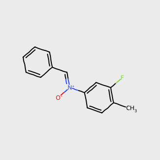 Cc1ccc([N+]([O-])=Cc2ccccc2)cc1F